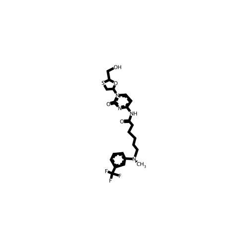 CN(CCCCCC(=O)Nc1ccn(C2CSC(CO)O2)c(=O)n1)c1cccc(C(F)(F)F)c1